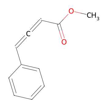 COC(=O)[C]=C=Cc1ccccc1